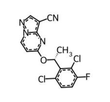 C[C@@H](Oc1ccn2ncc(C#N)c2n1)c1c(Cl)ccc(F)c1Cl